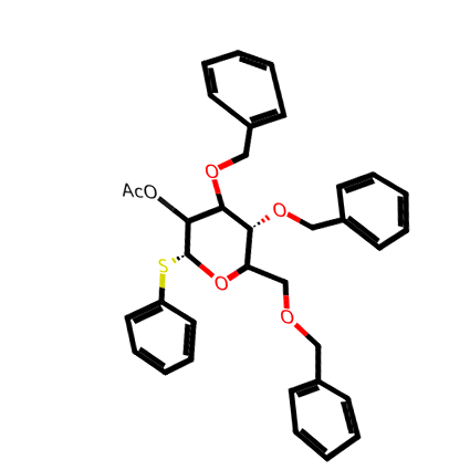 CC(=O)OC1C(OCc2ccccc2)[C@H](OCc2ccccc2)C(COCc2ccccc2)O[C@@H]1Sc1ccccc1